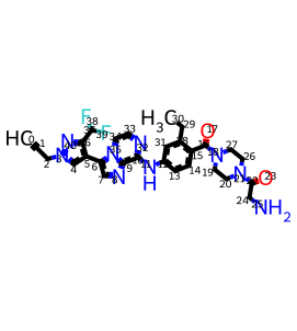 C#CCn1cc(-c2cnc3c(Nc4ccc(C(=O)N5CCN(C(=O)CN)CC5)c(CC)c4)nccn23)c(C(F)F)n1